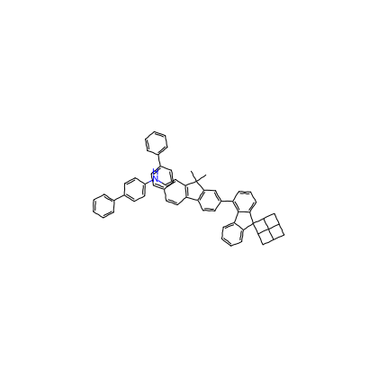 CC1(C)C(/C=C/Nc2ccc(-c3ccccc3)cc2)=C(/C=C\c2ccc(-c3ccccc3)cc2)c2ccc(-c3cccc4c3-c3ccccc3C43C4CC5CC6CC3C564)cc21